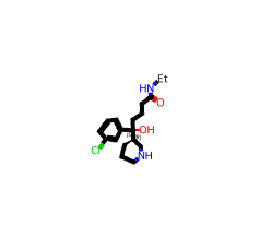 CCNC(=O)CCC[C@@](O)(c1cccc(Cl)c1)[C@@H]1CCCNC1